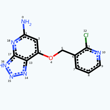 Nc1cc(OCc2cccnc2Cl)c2nn[nH]c2n1